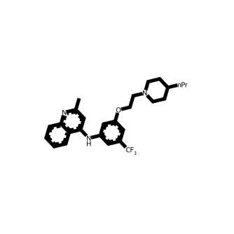 CCCC1CCN(CCOc2cc(Nc3cc(C)nc4ccccc34)cc(C(F)(F)F)c2)CC1